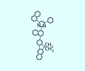 CC1(C)c2cc(-c3ccc(-c4nc(-c5ccccc5)cc(-c5cccc6ccccc56)n4)c4ccccc34)ccc2-c2cc3ccccc3cc21